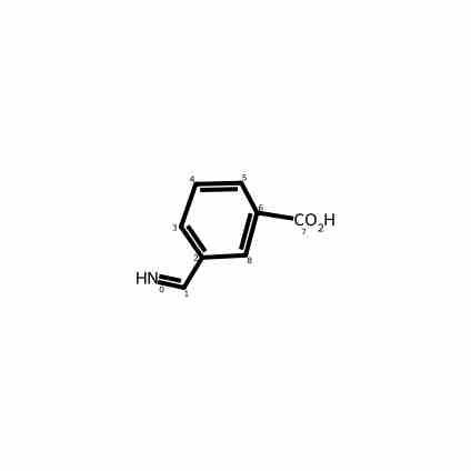 N=Cc1cccc(C(=O)O)c1